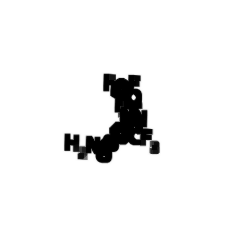 Cn1c(-c2ccc(OCC(N)=O)cc2C(F)(F)F)nnc1C(C)(C)Oc1c(F)cc(F)cc1F